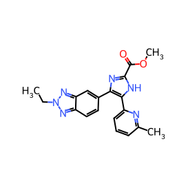 CCn1nc2ccc(-c3nc(C(=O)OC)[nH]c3-c3cccc(C)n3)cc2n1